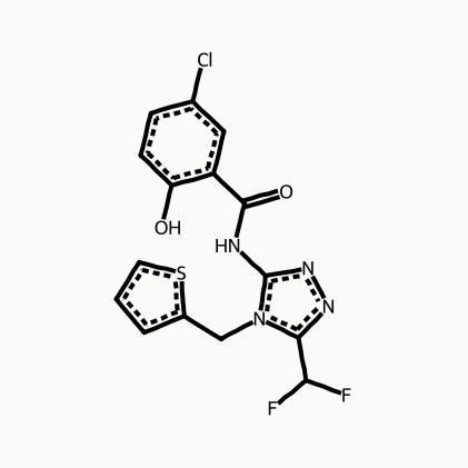 O=C(Nc1nnc(C(F)F)n1Cc1cccs1)c1cc(Cl)ccc1O